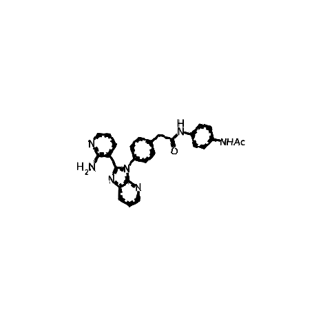 CC(=O)Nc1ccc(NC(=O)Cc2ccc(-n3c(-c4cccnc4N)nc4cccnc43)cc2)cc1